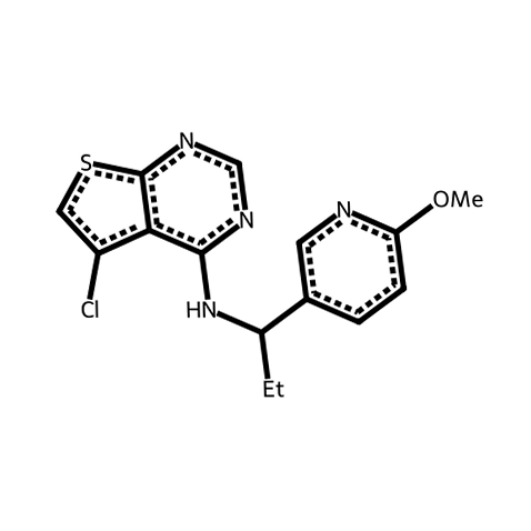 CCC(Nc1ncnc2scc(Cl)c12)c1ccc(OC)nc1